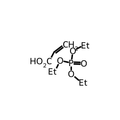 C=CC(=O)O.CCOP(=O)(OCC)OCC